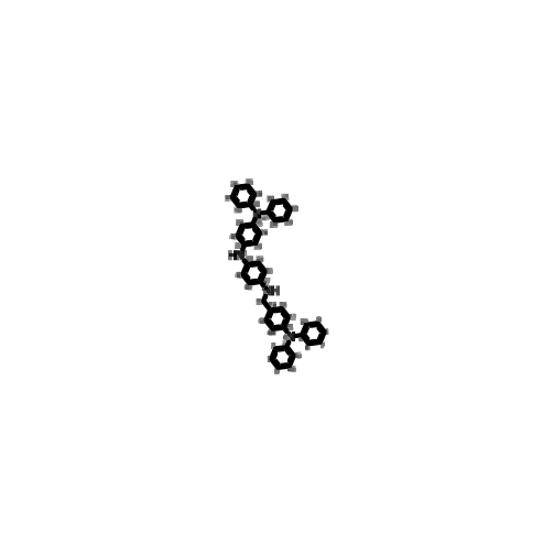 c1ccc(N(c2ccccc2)c2ccc(CNc3ccc(Nc4ccc(N(c5ccccc5)c5ccccc5)cc4)cc3)cc2)cc1